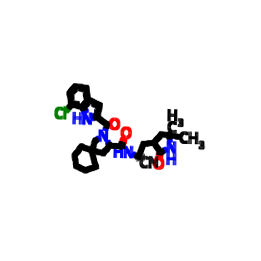 CC1(C)CC(C[C@@H](C#N)NC(=O)C2CC3(CCCCC3)CN2C(=O)c2cc3cccc(Cl)c3[nH]2)C(=O)N1